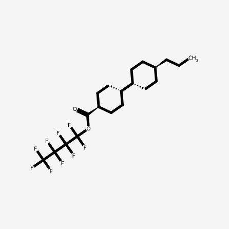 CCC[C@H]1CC[C@H]([C@H]2CC[C@H](C(=O)OC(F)(F)C(F)(F)C(F)(F)C(F)(F)F)CC2)CC1